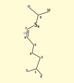 CC(C)CCC/C=C\SC(C)C